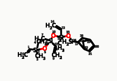 C=C[Si](C)(C)O[Si](C)(C=C)O[Si](C)(C=C)O[SiH2]C1CC2C=CC1C2